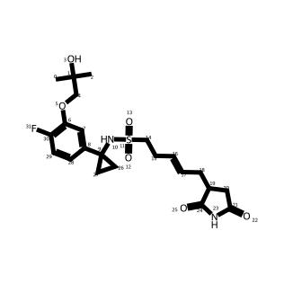 CC(C)(O)COc1cc(C2(NS(=O)(=O)CC/C=C/CC3CC(=O)NC3=O)CC2)ccc1F